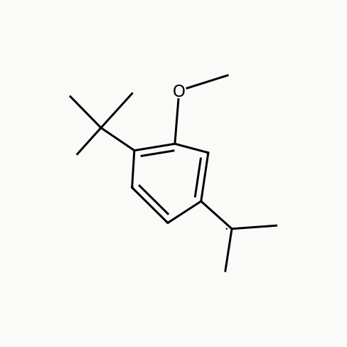 COc1cc([C](C)C)ccc1C(C)(C)C